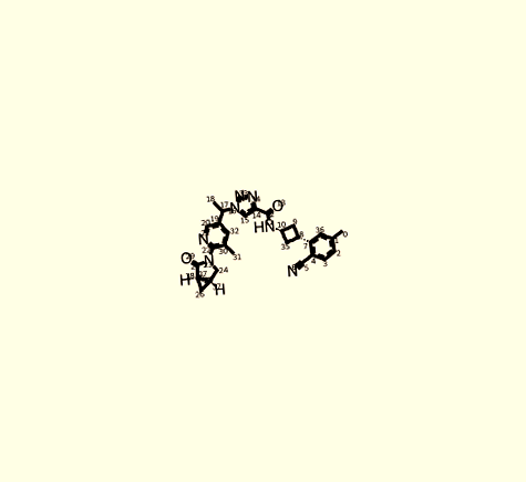 Cc1ccc(C#N)c([C@H]2C[C@@H](NC(=O)c3cn(C(C)c4cnc(N5C[C@H]6C[C@H]6C5=O)c(C)c4)nn3)C2)c1